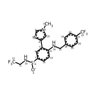 Cn1cnc(-c2cc([S+]([O-])NCC(F)(F)F)ccc2NCc2ccc(C(F)(F)F)cc2)c1